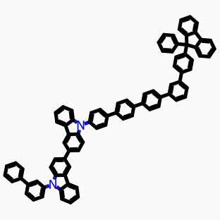 c1ccc(-c2cccc(-n3c4ccccc4c4cc(-c5ccc6c(c5)c5ccccc5n6-c5ccc(-c6ccc(-c7ccc(-c8cccc(-c9ccc(C%10(c%11ccccc%11)c%11ccccc%11-c%11ccccc%11%10)cc9)c8)cc7)cc6)cc5)ccc43)c2)cc1